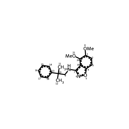 COc1ccc2onc(NCC(C)(C)c3ccccc3)c2c1OC